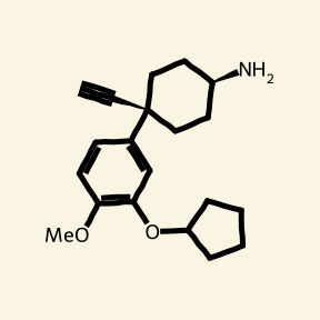 C#C[C@]1(c2ccc(OC)c(OC3CCCC3)c2)CC[C@H](N)CC1